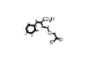 O=C(Cl)COCCC(Cc1ccccc1)C(=O)O